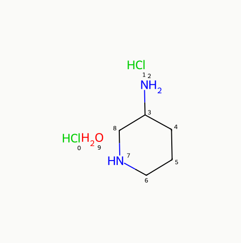 Cl.Cl.NC1CCCNC1.O